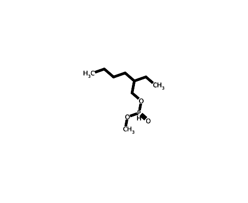 CCCCC(CC)CO[PH](=O)OC